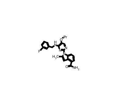 Cc1cc2c(C(N)=O)cccc2n1-c1ncc(OC(C)C)c(NCc2cccc(F)c2)n1